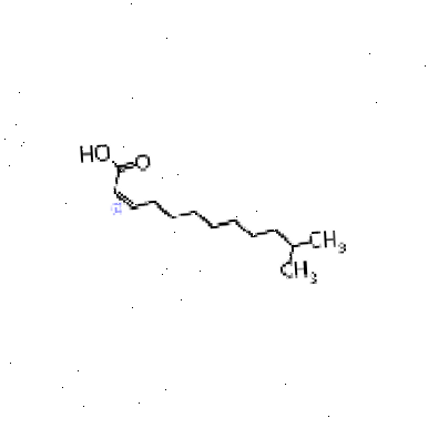 CC(C)CCCCCCC/C=C\C(=O)O